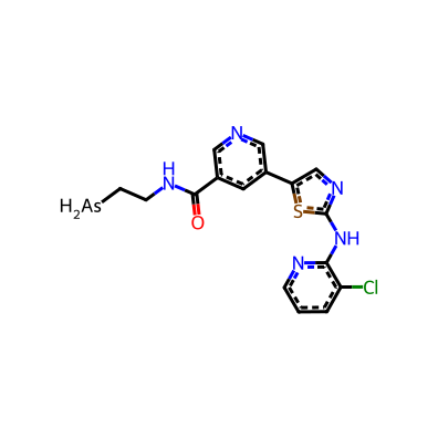 O=C(NCC[AsH2])c1cncc(-c2cnc(Nc3ncccc3Cl)s2)c1